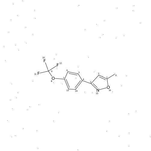 Cc1cc(-c2ccc(OC(F)(F)F)cc2)no1